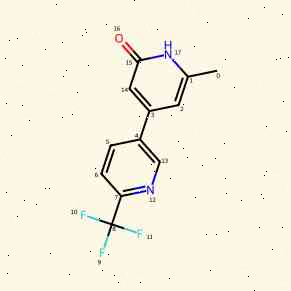 Cc1cc(-c2ccc(C(F)(F)F)nc2)cc(=O)[nH]1